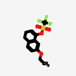 CCOc1ccc2c(c1)C(OS(=O)(=O)C(F)(F)F)=CCC2